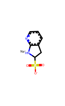 O=S(=O)([O-])C1Cc2cccnc2N1.[Na+]